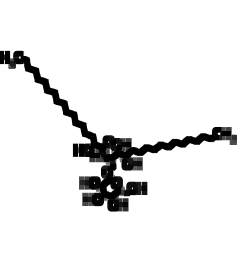 CCCCCCCCCCCCCCCCC(O)C(=O)N[C@H](CO[C@H]1O[C@H](CO)[C@@H](O)[C@H](O)[C@H]1O)[C@H](O)[C@H](O)CCCCCCCCCCCCC